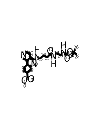 COC(=O)c1ccc2c(c1)nc(NCCCC(=O)NCCNC(=O)OC(C)(C)C)c1ccncc12